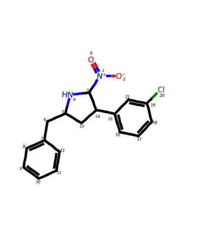 O=[N+]([O-])C1NC(Cc2ccccc2)CC1c1cccc(Cl)c1